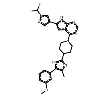 COc1cccc(-c2[nH]c(C3CCN(c4ncnc5[nH]c(-c6cnn(C(F)F)c6)cc45)CC3)nc2C)c1